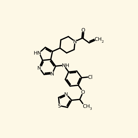 C=CC(=O)N1CCC(c2c[nH]c3ncnc(Nc4ccc(OC(C)c5cscn5)c(Cl)c4)c23)CC1